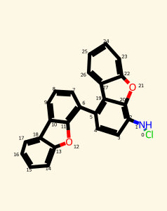 ClNc1ccc(-c2cccc3c2oc2ccccc23)c2c1oc1ccccc12